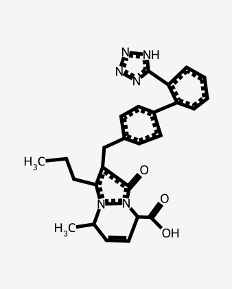 CCCc1c(Cc2ccc(-c3ccccc3-c3nnn[nH]3)cc2)c(=O)n2n1C(C)C=CC2C(=O)O